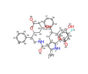 CCCc1[nH]c(-c2ccc(F)cc2)c(CC(c2ccccc2)C2CC(O)CC(=O)O2)c1C(=O)NCC(c1ccccc1)C1CC(O)CC(=O)O1